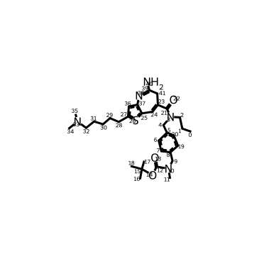 CCCN(Cc1ccc(CN(C)C(=O)OC(C)(C)C)cc1)C(=O)C1=Cc2sc(CCCCCN(C)C)cc2N=C(N)C1